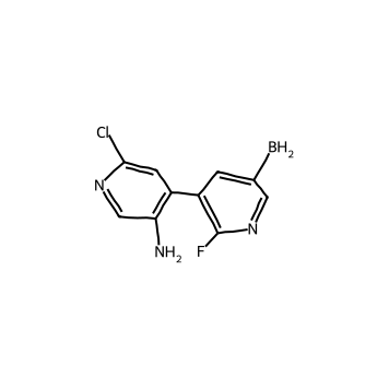 Bc1cnc(F)c(-c2cc(Cl)ncc2N)c1